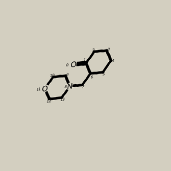 O=C1CCCCC1CN1CCOCC1